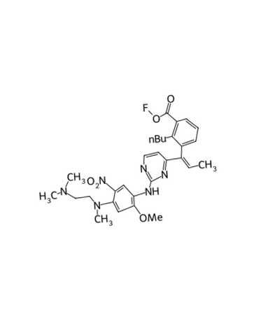 C/C=C(/c1ccnc(Nc2cc([N+](=O)[O-])c(N(C)CCN(C)C)cc2OC)n1)c1cccc(C(=O)OF)c1CCCC